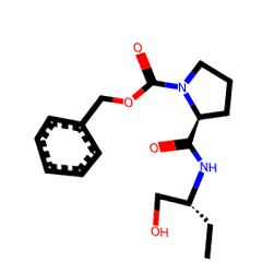 CC[C@H](CO)NC(=O)[C@@H]1CCCN1C(=O)OCc1ccccc1